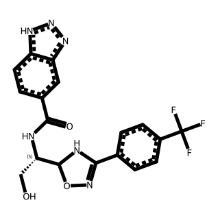 O=C(N[C@@H](CO)C1NC(c2ccc(C(F)(F)F)cc2)=NO1)c1ccc2[nH]nnc2c1